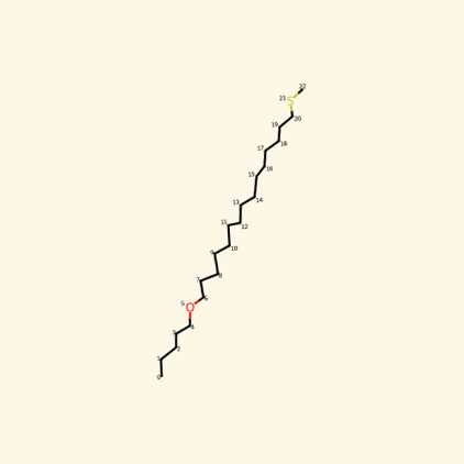 CCCCCOCCCCCCCCCCCCCCCSC